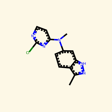 Cc1n[nH]c2cc(N(C)c3ccnc(Cl)n3)ccc12